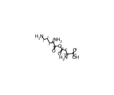 NCCC[C@H](N)C(=O)OC(=O)C[C@H](N)C(=O)O